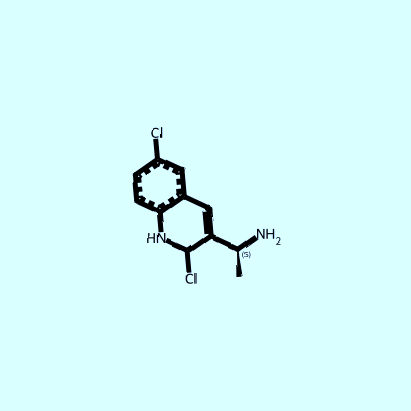 C[C@H](N)C1=Cc2cc(Cl)ccc2NC1Cl